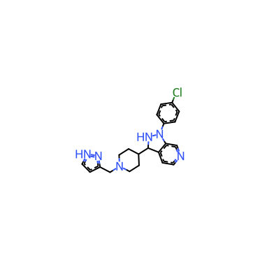 Clc1ccc(N2NC(C3CCN(Cc4cc[nH]n4)CC3)c3ccncc32)cc1